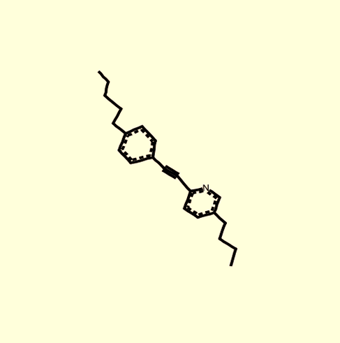 CCCCCc1ccc(C#Cc2ccc(CCCC)cn2)cc1